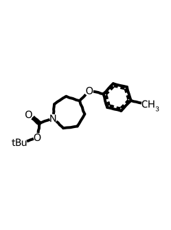 Cc1ccc(OC2CCCN(C(=O)OC(C)(C)C)CC2)cc1